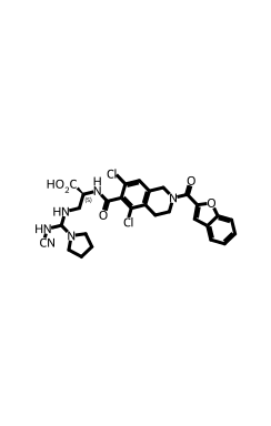 N#CNC(NC[C@H](NC(=O)c1c(Cl)cc2c(c1Cl)CCN(C(=O)c1cc3ccccc3o1)C2)C(=O)O)N1CCCC1